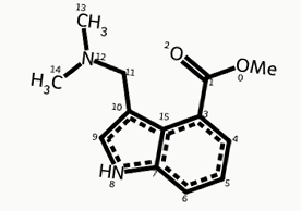 COC(=O)c1cccc2[nH]cc(CN(C)C)c12